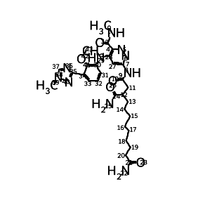 CNC(=O)c1nnc(NC(=O)CC(CCCCCCCCC(N)=O)C(N)=O)cc1Nc1cccc(-c2ncn(C)n2)c1OC